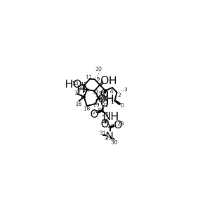 C=C[C@@H](C)CC(=O)[C@]1(O)[C@@H](C)C[C@H](O)[C@H]2C(C)(C)CC[C@](O)(OC(=O)NOC(=O)N(C)C)[C@@]21C